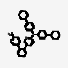 Nc1ccc(-c2ccccc2-c2ccc(N(c3ccc(C4CCCCC4)cc3)c3ccc(C4CCCCC4)cc3)nc2)cn1